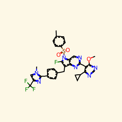 COc1ncnc(C2CC2)c1-c1ncc2c(n1)c(Cc1ccc(-c3nc(C(F)(F)F)cn3C)cc1)c(F)n2S(=O)(=O)c1ccc(C)cc1